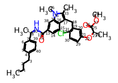 CCCCc1ccc([C@H](C)NC(=O)c2ccc3c(Cc4cc(O[C@H](C)C(=O)OC)ccc4Cl)c(C)n(C)c3c2)cc1